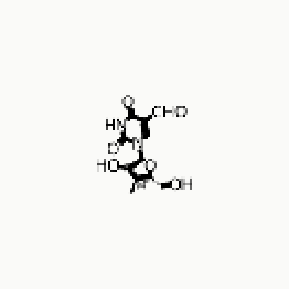 C[C@@H]1[C@@H](CO)OC(n2cc(C=O)c(=O)[nH]c2=O)[C@@H]1O